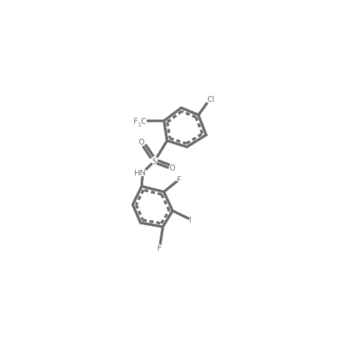 O=S(=O)(Nc1ccc(F)c(I)c1F)c1ccc(Cl)cc1C(F)(F)F